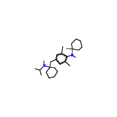 Cc1cc(CC2(N(C)C(C)C)CCCCC2)cc(C)c1N(C)C1(C)CCCCC1